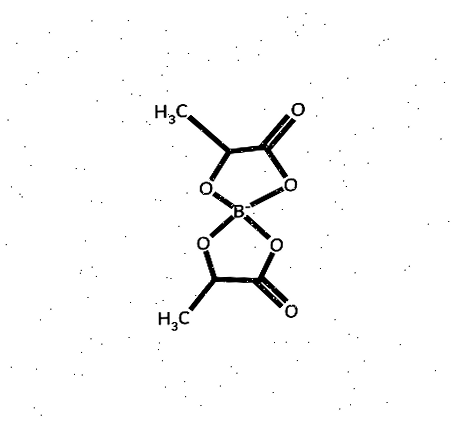 CC1O[B-]2(OC1=O)OC(=O)C(C)O2